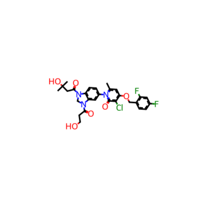 Cc1cc(OCc2ccc(F)cc2F)c(Cl)c(=O)n1-c1ccc2c(c1)N(C(=O)CCO)CN2C(=O)CC(C)(C)O